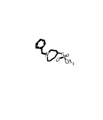 CS(=O)(=O)OC1CCN(Cc2ccccc2)CC1